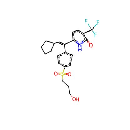 O=c1[nH]c(C(=CC2CCCC2)c2ccc(S(=O)(=O)CCCO)cc2)ccc1C(F)(F)F